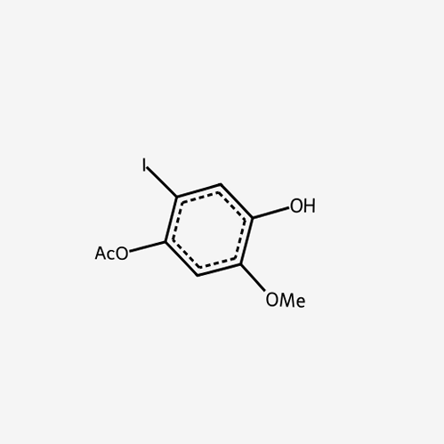 COc1cc(OC(C)=O)c(I)cc1O